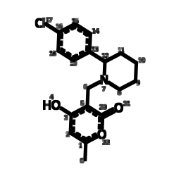 Cc1cc(O)c(CN2CCCCC2c2ccc(Cl)cc2)c(=O)o1